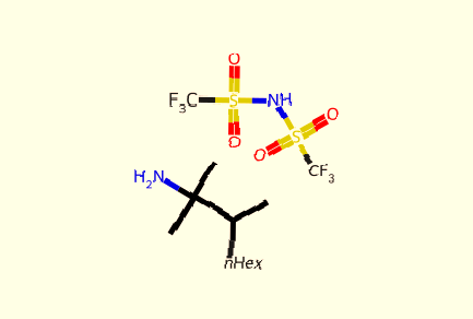 CCCCCCC(C)C(C)(C)N.O=S(=O)(NS(=O)(=O)C(F)(F)F)C(F)(F)F